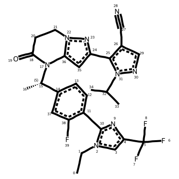 CCn1cc(C(F)(F)F)nc1-c1ccc([C@H](C)N2C(=O)CCn3nc(-c4c(C#N)cnn4C(C)C)cc32)cc1F